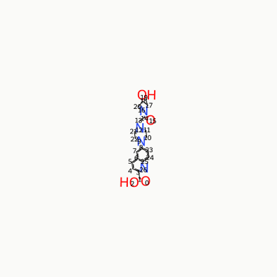 O=C(O)c1ccc2cc(N3CCN(CC(=O)N4CC(O)C4)CC3)ccc2n1